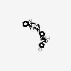 Cn1c(CN2CCN(c3ccc(NS(=O)(=O)c4ccc(Cl)cc4)cc3)CC2)nc2ccccc21